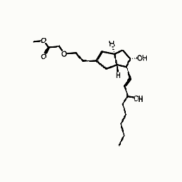 CCCCCC(O)C=C[C@H]1[C@@H]2CC(CCOCC(=O)OC)C[C@H]2C[C@@H]1O